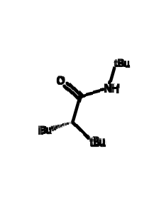 CCC(C)[C@H](C(=O)NC(C)(C)C)C(C)(C)C